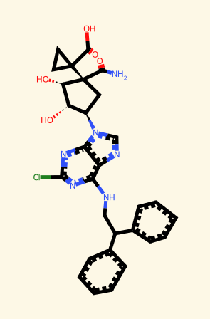 NC(=O)[C@]1(C2(C(=O)O)CC2)C[C@@H](n2cnc3c(NCC(c4ccccc4)c4ccccc4)nc(Cl)nc32)[C@H](O)[C@@H]1O